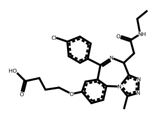 CCNC(=O)CC1N=C(c2ccc(Cl)cc2)c2cc(OCCCC(=O)O)ccc2-n2c(C)nnc21